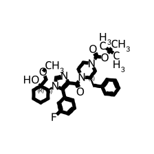 COC[C@@]1(O)CCCC[C@@H]1n1cnc(C(=O)N2CCN(C(=O)OC(C)(C)C)C[C@H]2Cc2ccccc2)c1-c1cccc(F)c1